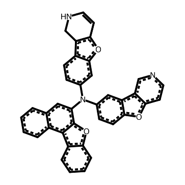 C1=Cc2oc3cc(N(c4ccc5oc6ccncc6c5c4)c4cc5ccccc5c5c4oc4ccccc45)ccc3c2CN1